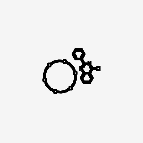 C1COCCOCCOCCOCCOCCO1.Clc1nc(-c2ccccc2)nc2ccccc12